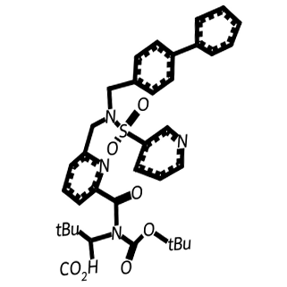 CC(C)(C)OC(=O)N(C(=O)c1cccc(CN(Cc2ccc(-c3ccccc3)cc2)S(=O)(=O)c2cccnc2)n1)C(C(=O)O)C(C)(C)C